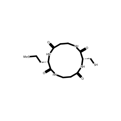 CSCC[C@@H]1NC(=O)CCNC(=O)[C@H](CS)NC(=O)CCNC1=O